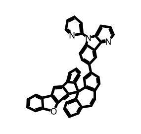 C1=Cc2ccc(-c3ccc4c(c3)c3ncccc3n4-c3ccccn3)cc2C2(c3ccccc31)c1ccccc1-c1cc3c(cc12)oc1ccccc13